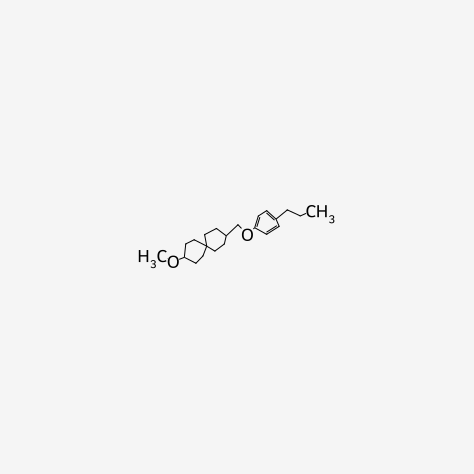 CCCc1ccc(OCC2CCC3(CC2)CCC(OC)CC3)cc1